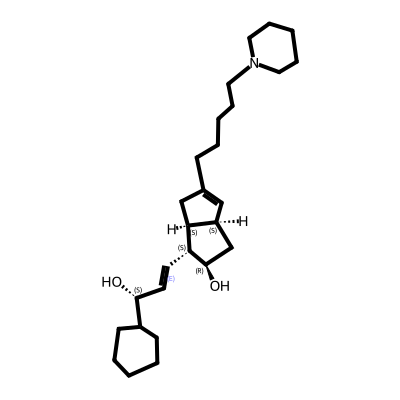 O[C@H](/C=C/[C@@H]1[C@H]2CC(CCCCCN3CCCCC3)=C[C@H]2C[C@H]1O)C1CCCCC1